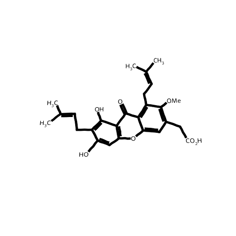 COc1c(CC(=O)O)cc2oc3cc(O)c(CC=C(C)C)c(O)c3c(=O)c2c1CC=C(C)C